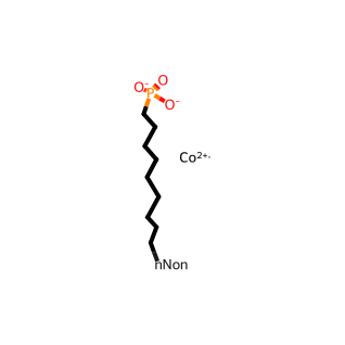 CCCCCCCCCCCCCCCCCCP(=O)([O-])[O-].[Co+2]